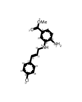 COC(=O)c1ccc(N)c(NCC=Cc2ccc(Cl)cc2)c1